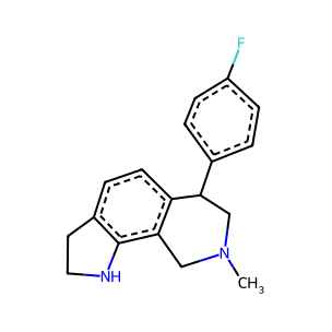 CN1Cc2c(ccc3c2NCC3)C(c2ccc(F)cc2)C1